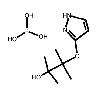 CC(C)(O)C(C)(C)Oc1cc[nH]n1.OB(O)O